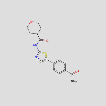 CNC(=O)c1ccc(-c2cnc(NC(=O)C3CCOCC3)s2)cc1